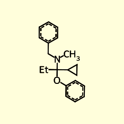 CCC(Oc1ccccc1)(C1CC1)N(C)Cc1ccccc1